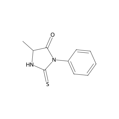 CC1NC(=S)N(c2ccccc2)C1=O